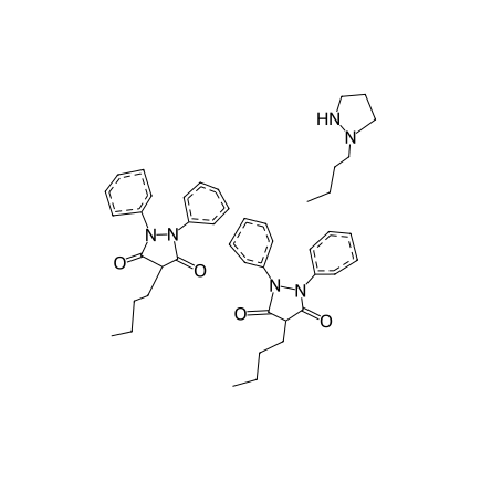 CCCCC1C(=O)N(c2ccccc2)N(c2ccccc2)C1=O.CCCCC1C(=O)N(c2ccccc2)N(c2ccccc2)C1=O.CCCCN1CCCN1